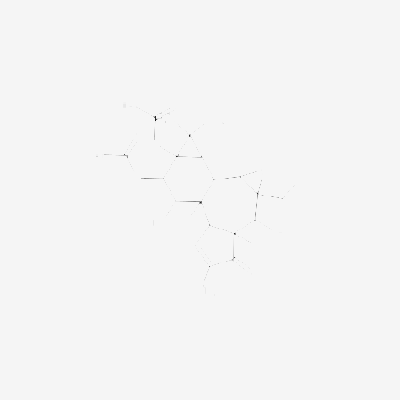 CCC(C)C(=O)OC1C(C)C2(O)C(C3OC3(CO)C(O)C3(O)C(=O)C(C)=CC32)C2C(C)(C)C12OC(=O)C(C)CC